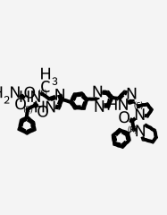 C[C@H](NC(=O)[C@H](OC(N)=O)c1ccccc1)c1nc(-c2ccc(-c3ncc(-c4cnc([C@@H]5CCCN5C(=O)[C@@H](c5ccccc5)N5CCCCC5)[nH]4)cn3)cc2)c[nH]1